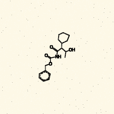 CC(O)C(C(=O)NC(=O)OCc1ccccc1)C1CCCCC1